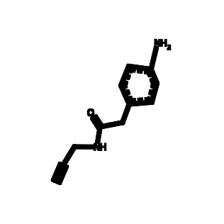 C#CCNC(=O)Cc1ccc(N)cc1